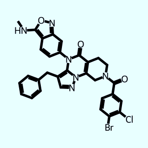 CNc1onc2cc(-n3c(=O)c4c(n5ncc(Cc6ccccc6)c35)CN(C(=O)c3ccc(Br)c(Cl)c3)CC4)ccc12